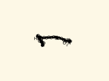 O=C(C(=O)N1CCN(C(=O)c2ccccc2)CC1)c1c[nH]c2c(-c3ccco3)ccc(OCCOCCOCCOCCOCCOCCn3cc(COCCOCCOCCOCCNc4c([N+](=O)[O-])cccc4[N+](=O)[O-])nn3)c12